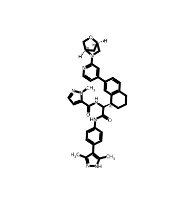 Cc1n[nH]c(C)c1-c1ccc(NC(=O)C(NC(=O)c2ccnn2C)[C@@H]2CCCc3ccc(-c4ccnc(N5C[C@H]6C[C@@H]5CO6)c4)cc32)cc1